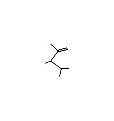 COC(=O)C(O)C(O)O